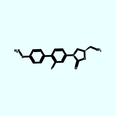 NC[C@H]1CN(c2ccc(-c3ccc(SN)cc3)c(F)c2)C(=O)O1